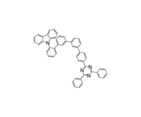 c1ccc(-c2nc(-c3ccccc3)nc(-c3ccc(-c4cccc(-c5cccc(-c6ccccc6-n6c7ccccc7c7ccccc76)c5)c4)cc3)n2)cc1